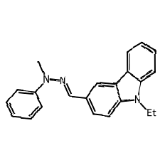 CCn1c2ccccc2c2cc(C=NN(C)c3ccccc3)ccc21